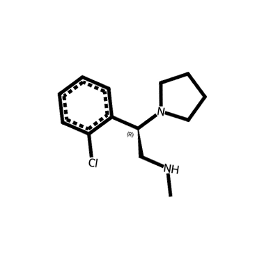 CNC[C@@H](c1ccccc1Cl)N1CCCC1